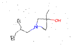 CCC(CC)CN1CC(C)(O)C1